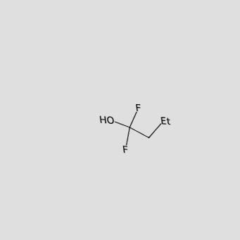 CCCC(O)(F)F